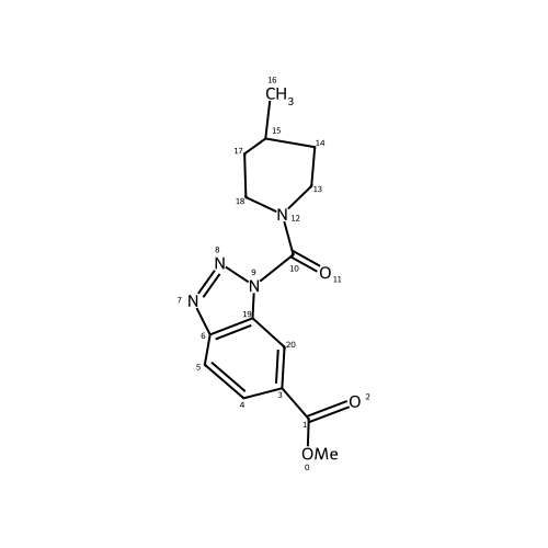 COC(=O)c1ccc2nnn(C(=O)N3CCC(C)CC3)c2c1